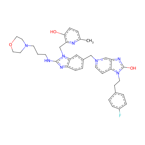 Cc1ccc(O)c(Cn2c(NCCCN3CCOCC3)nc3ccc(C[n+]4ccc5c(c4)nc(O)n5CCc4ccc(F)cc4)cc32)n1